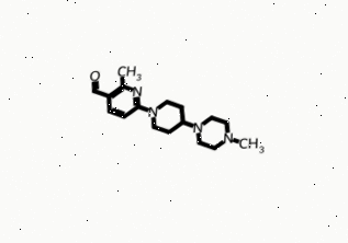 Cc1nc(N2CCC(N3CCN(C)CC3)CC2)ccc1C=O